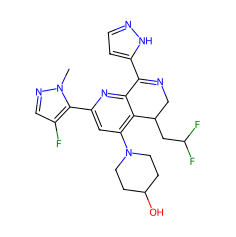 Cn1ncc(F)c1-c1cc(N2CCC(O)CC2)c2c(n1)C(c1ccn[nH]1)=NCC2CC(F)F